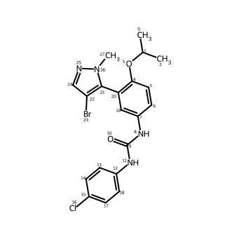 CC(C)Oc1ccc(NC(=O)Nc2ccc(Cl)cc2)cc1-c1c(Br)cnn1C